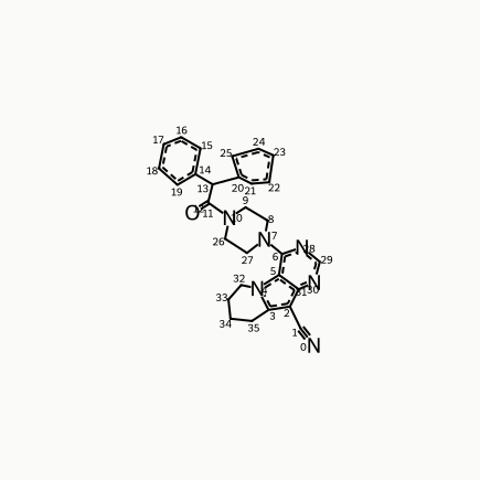 N#Cc1c2n(c3c(N4CCN(C(=O)C(c5ccccc5)c5ccccc5)CC4)ncnc13)CCCC2